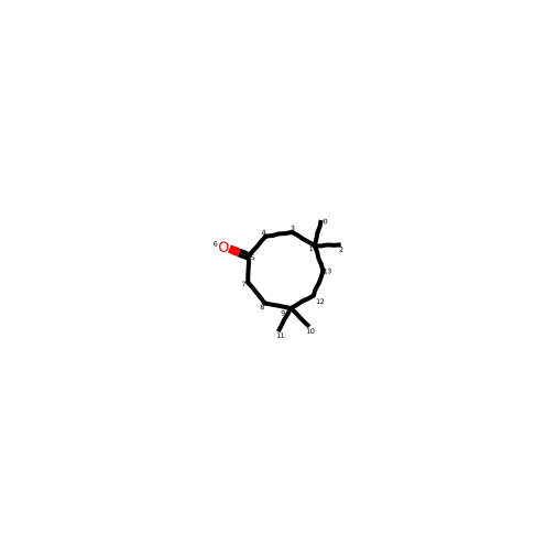 CC1(C)CCC(=O)CCC(C)(C)CC1